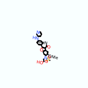 CNC(=O)c1c(-c2ccc(Nc3cccnc3)cc2)oc2cc(N(CCO)S(C)(=O)=O)c(OC)cc12